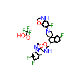 O=C(C[C@@H]1CC2(CCN(c3cc4c(cc3F)NCCO4)CC2)c2cc(F)ccc21)N[C@H](Cc1ccc(F)c(F)c1)c1nnco1.O=C(O)C(F)(F)F